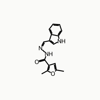 Cc1cc(C(=O)N/N=C\c2c[nH]c3ccccc23)c(C)o1